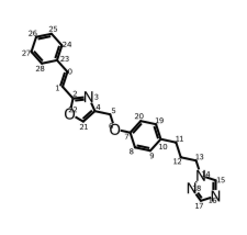 C(=Cc1nc(COc2ccc(CCCn3cncn3)cc2)co1)c1ccccc1